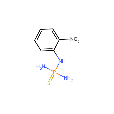 NP(N)(=S)Nc1ccccc1[N+](=O)[O-]